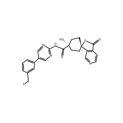 O=C1O[C@]2(CC[C@](O)(C(=O)Nc3ncc(-c4cccc(CF)c4)cn3)CC2)c2cnccc21